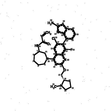 C=CC(=O)NC1CCCCN(c2nc(OC[C@@H]3CCCN3C)nc3c(F)c(-c4cccc5sc(N)nc45)c(Cl)cc23)C1